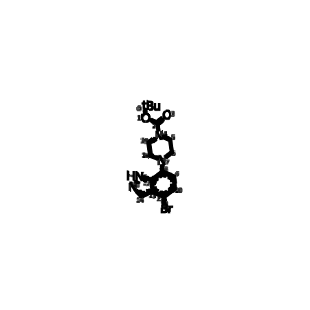 CC(C)(C)OC(=O)N1CCN(c2ccc(Br)c3cn[nH]c23)CC1